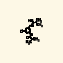 CC(C)C(=O)Oc1cc(Cl)cc(/C=N/C(O)C(C)C)c1